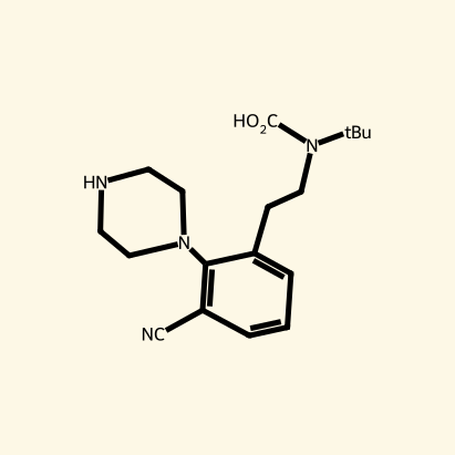 CC(C)(C)N(CCc1cccc(C#N)c1N1CCNCC1)C(=O)O